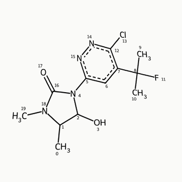 CC1C(O)N(c2cc(C(C)(C)F)c(Cl)nn2)C(=O)N1C